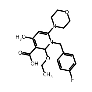 CCOC1C(C(=O)O)=C(C)C=C(N2CCOCC2)N1Cc1ccc(F)cc1